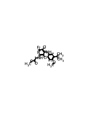 COC(=O)CNc1nc(F)c(Cl)c(Nc2ccc(OC)c(C(C)C)c2)c1Cl